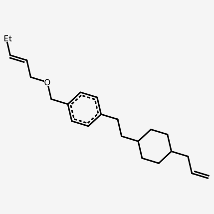 C=CCC1CCC(CCc2ccc(COCC=CCC)cc2)CC1